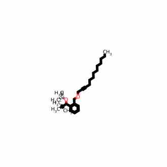 CCCCCCCCCCC#CCOCc1ccccc1C(O[SiH](C)C)C(C)(C)C